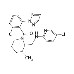 C[C@@H]1CCCN(C(=O)c2c(Cl)cccc2-n2nccn2)C1CNc1ccc(Cl)cn1